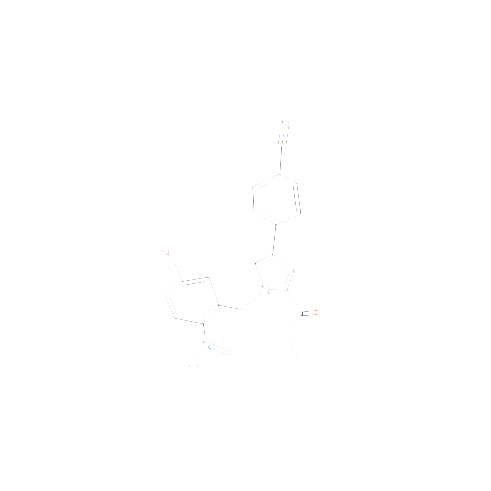 COC(=O)c1cc(-c2ccc(C#N)cc2)cn1Cc1cc(Br)ccc1[N+](=O)[O-]